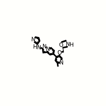 Cc1cc(-c2ccn3nc(Nc4cccnc4)cc3c2)c(OC[C@@H]2CNCCO2)cn1